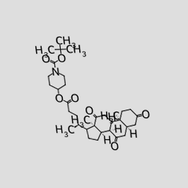 C[C@@H](CCC(=O)OC1CCN(C(=O)OC(C)(C)C)CC1)C1CC[C@@H]2[C@@H]3C(=O)C[C@@H]4CC(=O)CC[C@]4(C)[C@@H]3CC(=O)[C@]12C